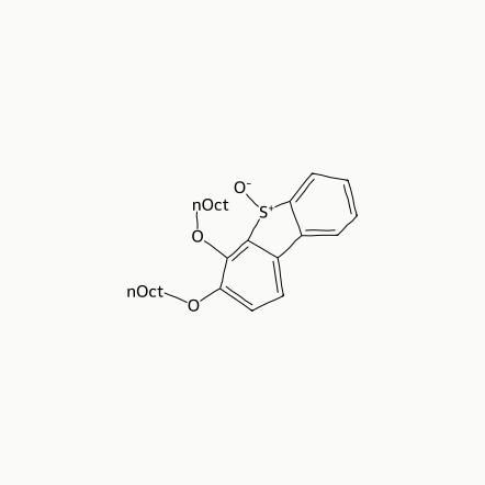 CCCCCCCCOc1ccc2c3ccccc3[s+]([O-])c2c1OCCCCCCCC